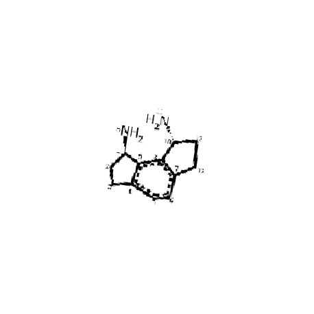 N[C@@H]1CCc2ccc3c(c21)[C@H](N)CC3